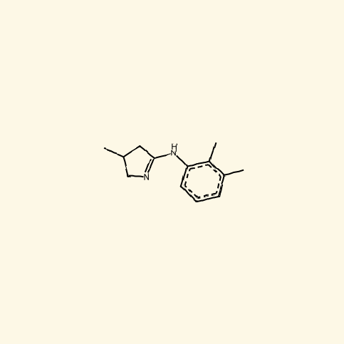 Cc1cccc(NC2=NCC(C)C2)c1C